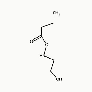 CCCC(=O)ONCCO